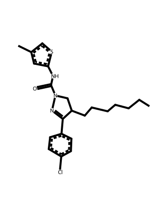 CCCCCCCC1CN(C(=O)Nc2cc(C)cs2)N=C1c1ccc(Cl)cc1